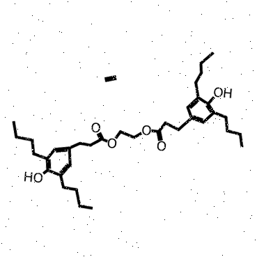 C=C.CCCCc1cc(CCC(=O)OCCOC(=O)CCc2cc(CCCC)c(O)c(CCCC)c2)cc(CCCC)c1O